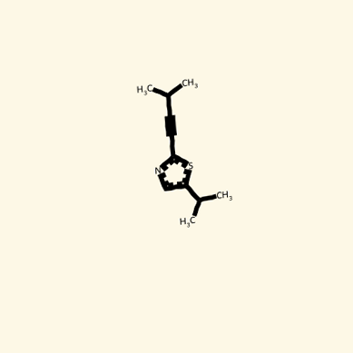 CC(C)C#Cc1ncc(C(C)C)s1